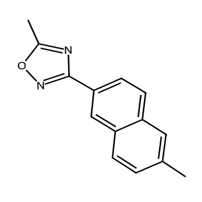 Cc1ccc2cc(-c3noc(C)n3)ccc2c1